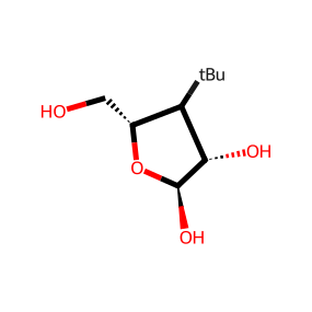 CC(C)(C)C1[C@@H](CO)O[C@H](O)[C@H]1O